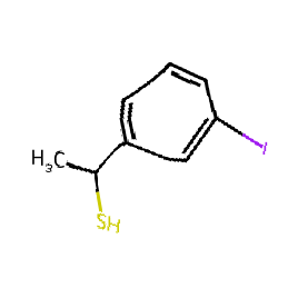 CC(S)c1cccc(I)c1